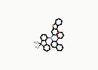 CC1(C)c2ccccc2-c2c(N(c3ccc4c(c3)sc3ccccc34)c3ccc4ccccc4c3-c3ccccc3)cccc21